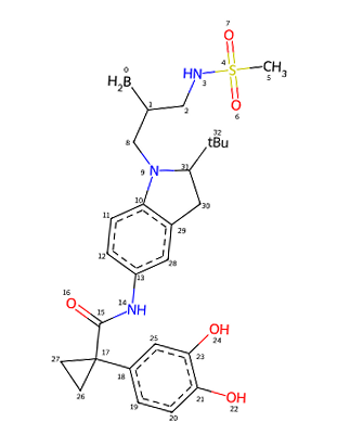 BC(CNS(C)(=O)=O)CN1c2ccc(NC(=O)C3(c4ccc(O)c(O)c4)CC3)cc2CC1C(C)(C)C